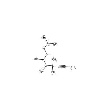 CC#CC(C)(C)C(C)C(O)CCC(O)CCCC